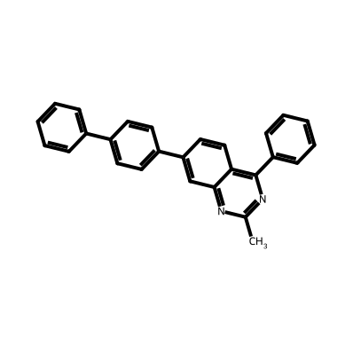 Cc1nc(-c2ccccc2)c2ccc(-c3ccc(-c4ccccc4)cc3)cc2n1